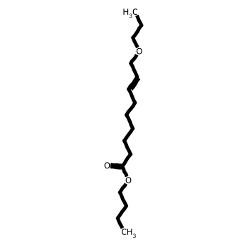 CCCCOC(=O)CCCCCC=CCOCCC